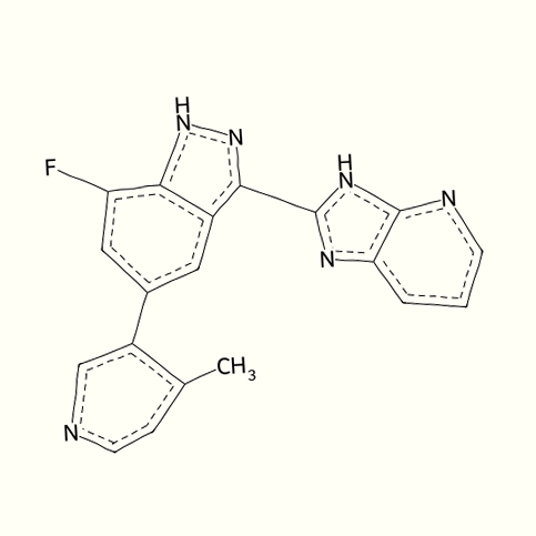 Cc1ccncc1-c1cc(F)c2[nH]nc(-c3nc4cccnc4[nH]3)c2c1